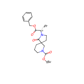 CC(C)[C@@H](C(=O)OCc1ccccc1)N1CCC2(CCCN(C(=O)OC(C)(C)C)C2)C1=O